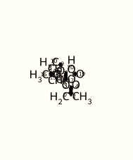 C=C(C)C(=O)OC(COCC)(OOC(C)(C)C)OC(=O)O